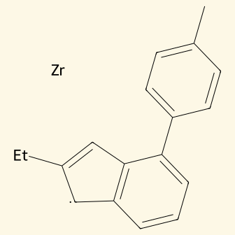 CCC1=Cc2c(cccc2-c2ccc(C)cc2)[CH]1.[Zr]